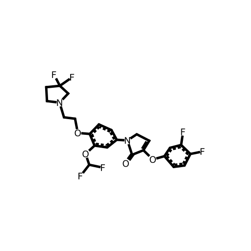 O=C1C(Oc2ccc(F)c(F)c2)=CCN1c1ccc(OCCN2CCC(F)(F)C2)c(OC(F)F)c1